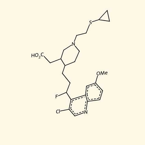 COc1ccc2ncc(Cl)c(C(F)CCC3CCN(CCSC4CC4)CC3CC(=O)O)c2c1